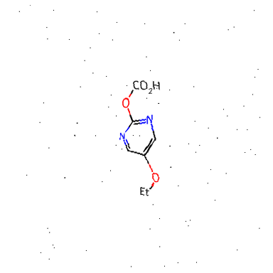 CCOc1cnc(OC(=O)O)nc1